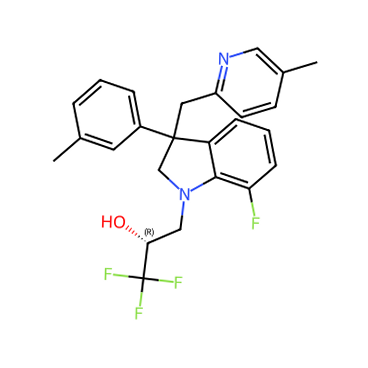 Cc1ccc(CC2(c3cccc(C)c3)CN(C[C@@H](O)C(F)(F)F)c3c(F)cccc32)nc1